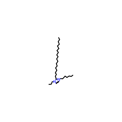 CCCCCCCCCCCCCCCCCCCC1N(CCC)C=CN1CCCCCCC